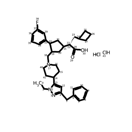 CCn1nc(Cc2ccccc2)cc1C1CCN(CC2CC([C@H](CC3CCC3)C(=O)O)CC2c2cccc(F)c2)CC1.Cl.Cl